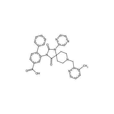 Cc1cccnc1CN1CCC2(CC1)C(=O)N(c1cc(C(=O)O)ccc1-c1ccccc1)C(=O)N2c1cnccn1